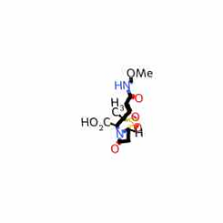 COCNC(=O)/C=C/[C@@]1(C)[C@H](C(=O)O)N2C(=O)C[C@H]2S1(=O)=O